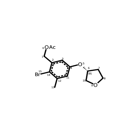 CC(=O)OCc1cc(O[C@@H]2CCOC2)cc(C)c1Br